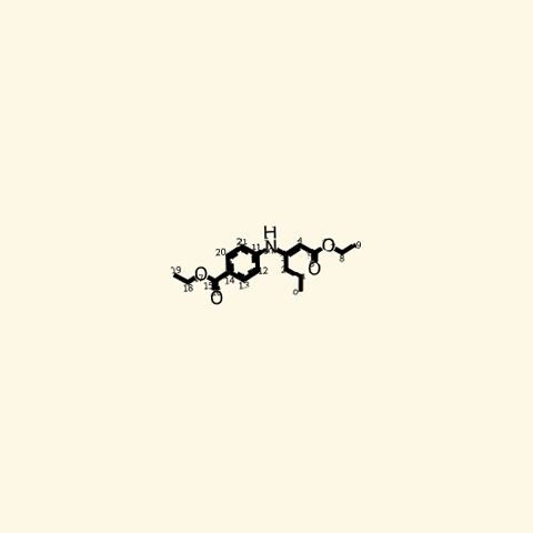 CCC/C(=C\C(=O)OCC)Nc1ccc(C(=O)OCC)cc1